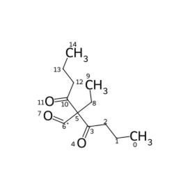 CCCC(=O)C([C]=O)(CC)C(=O)CCC